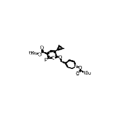 CC(C)(C)OC(=O)c1cc(C2CC2)c(OCC2CCN(OC(=O)C(C)(C)C)CC2)cc1F